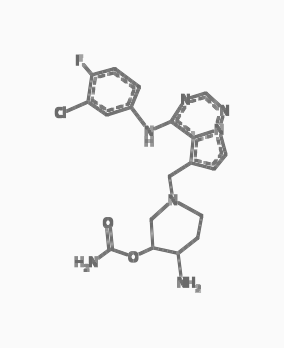 NC(=O)OC1CN(Cc2ccn3ncnc(Nc4ccc(F)c(Cl)c4)c23)CCC1N